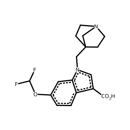 O=C(O)c1cn(CC23CCN(CC2)C3)c2cc(OC(F)F)ccc12